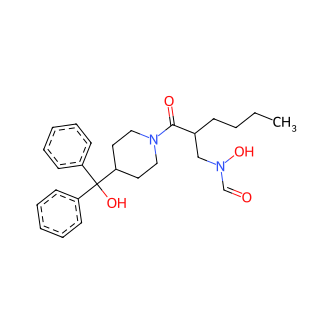 CCCCC(CN(O)C=O)C(=O)N1CCC(C(O)(c2ccccc2)c2ccccc2)CC1